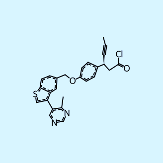 CC#C[C@@H](CC(=O)Cl)c1ccc(OCc2ccc3scc(-c4cncnc4C)c3c2)cc1